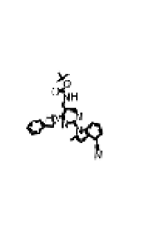 Cc1cc2c(C#N)cccc2n1-c1ncc(CNC(=O)OC(C)(C)C)c(NCc2ccccc2)n1